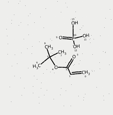 C=CC(=O)OC(C)(C)C.O=P(O)(O)O